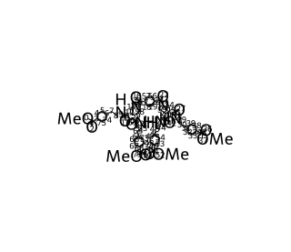 COC(=O)c1ccc(CCNC(=O)[C@H]2CN(C(=O)c3ccc(C(=O)N4C[C@H](C(=O)NCCc5ccc(C(=O)OC)cc5)[C@@H](C(=O)NCCc5ccc(C(=O)OC)cc5)C4)cc3)C[C@@H]2C(=O)NCCc2ccc(C(=O)OC)cc2)cc1